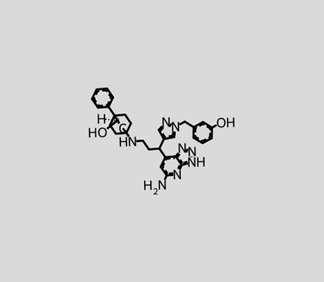 Nc1cc(C(CCNC23CCC(c4ccccc4)(CC2)[C@H](O)C3)c2cnn(Cc3cccc(O)c3)c2)c2nn[nH]c2n1